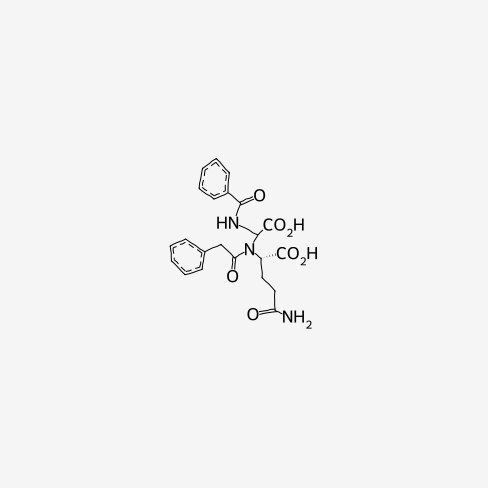 NC(=O)CC[C@@H](C(=O)O)N(C(=O)Cc1ccccc1)C(NC(=O)c1ccccc1)C(=O)O